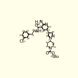 CC(C)(C)OC(=O)N1CCC(n2cc(-c3cnc(N)c(C(=O)NCCc4cccc(Cl)c4)c3)cn2)CC1